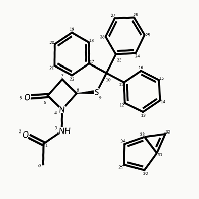 CC(=O)NN1C(=O)C[C@H]1SC(c1ccccc1)(c1ccccc1)c1ccccc1.c1cc2cc-2c1